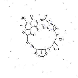 COC1/C=C/OC2(C)Oc3c(C)c(O)c4c(c3C2=O)C(=O)C(/C=N/N2CCN(C)CC2)=C(NC(=O)/C(C)=C\C=C\C(C)C(O)C(C)C(O)C(C)C(OC(C)=O)C1C)C4=O